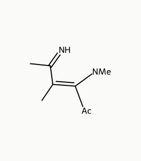 CN/C(C(C)=O)=C(/C)C(C)=N